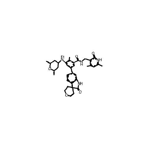 CCN(c1cc(-c2ccc3c(c2)NC(=O)C32CCOCC2)cc(C(=O)NCc2c(C)cc(C)[nH]c2=O)c1C)C1CC(C)OC(C)C1